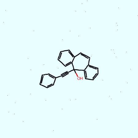 OC1(C#Cc2ccccc2)c2ccccc2C=Cc2ccccc21